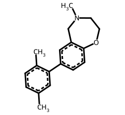 Cc1ccc(C)c(-c2ccc3c(c2)CN(C)CCO3)c1